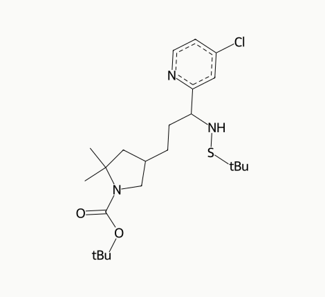 CC(C)(C)OC(=O)N1CC(CCC(NSC(C)(C)C)c2cc(Cl)ccn2)CC1(C)C